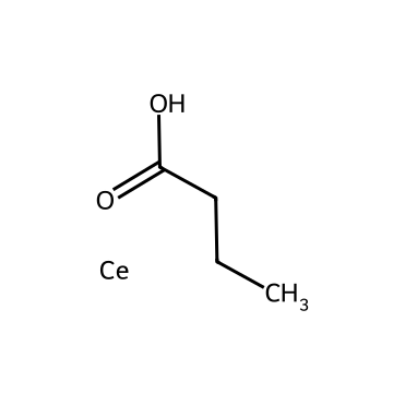 CCCC(=O)O.[Ce]